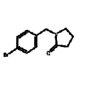 O=C1CCCN1Cc1ccc(Br)cc1